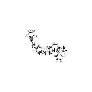 FC(F)(F)c1ccccc1-c1cccc2nc(Nc3ccc(OCCN4CCCC4)cc3)nn12